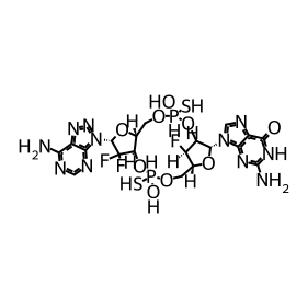 Nc1nc2c(ncn2[C@@H]2O[C@@H]3CO[PH](O)(S)O[C@@H]4[C@@H](CO[PH](O)(S)O[C@@H]2[C@@H]3F)O[C@@H](n2nnc3c(N)ncnc32)C4(F)F)c(=O)[nH]1